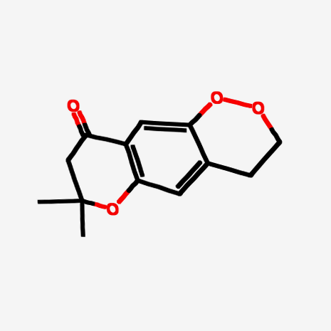 CC1(C)CC(=O)c2cc3c(cc2O1)CCOO3